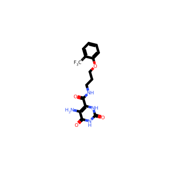 Nc1c(C(=O)NCCCOc2ccccc2C(F)(F)F)[nH]c(=O)[nH]c1=O